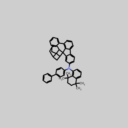 CC1(C)CCC(C)(C)c2c(N(c3ccc(-c4ccccc4)cc3)c3ccc4c(c3)C3(c5c(-c6ccccc6)cccc5-4)C4CC5CC6CC3C64C5)cccc21